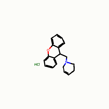 C1=CCN(CC2c3ccccc3Oc3ccccc32)CC1.Cl